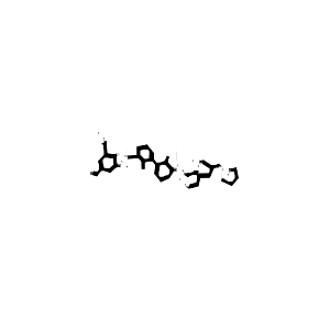 Cc1c(Nc2nccc3cc(CN4CCCC4)cnc23)cccc1-c1cccc(-c2nc3cc(C=O)cc(C#N)c3o2)c1C